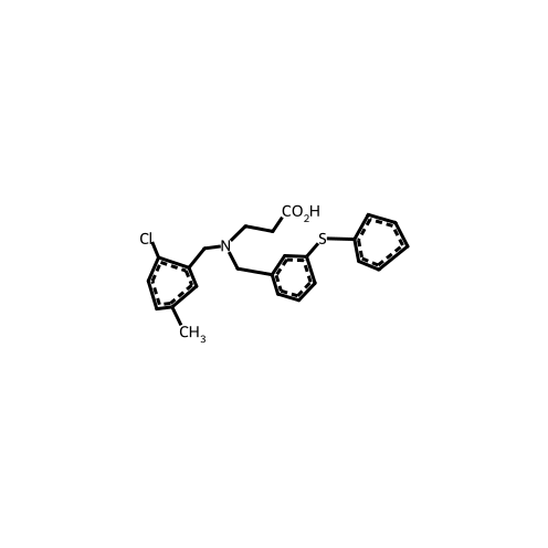 Cc1ccc(Cl)c(CN(CCC(=O)O)Cc2cccc(Sc3ccccc3)c2)c1